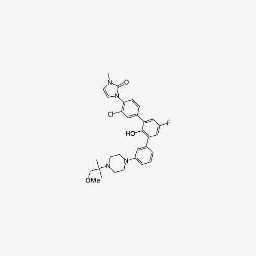 COCC(C)(C)N1CCN(c2cccc(-c3cc(F)cc(-c4ccc(-n5ccn(C)c5=O)c(Cl)c4)c3O)c2)CC1